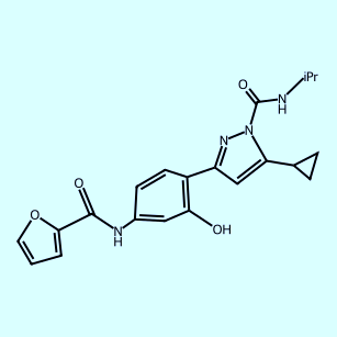 CC(C)NC(=O)n1nc(-c2ccc(NC(=O)c3ccco3)cc2O)cc1C1CC1